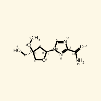 CO[C@]1(CO)CO[C@H](n2cnc(C(N)=O)n2)C1